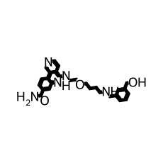 NC(=O)c1ccc2c(c1)nc(NCCOCCCCNCc1cccc(CO)c1)c1ccncc12